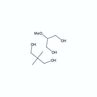 CC(C)(CO)CO.COC(CO)CO